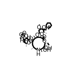 CC[C@H]1OC(=O)[C@H](C)[C@@H](O[C@H]2C[C@@](C)(OC)[C@](O)(CN3CCCCC3)[C@H](C)O2)[C@H](C)[C@@H](O[C@@H]2O[C@H](C)C[C@H]3[C@H]2OS(=O)(=O)N3C)[C@](C)(O)C[C@@H](C)CN[C@H](C)[C@@H](O)[C@]1(C)O